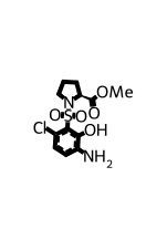 COC(=O)[C@@H]1CCCN1S(=O)(=O)c1c(Cl)ccc(N)c1O